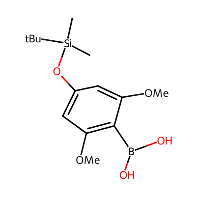 COc1cc(O[Si](C)(C)C(C)(C)C)cc(OC)c1B(O)O